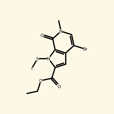 CCOC(=O)c1cc2c(Br)cn(C)c(=O)c2n1SI